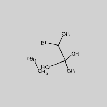 CCC(O)C(O)(O)O.CCCCC